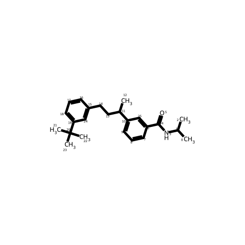 CC(C)NC(=O)c1cccc(C(C)CCc2cccc(C(C)(C)C)c2)c1